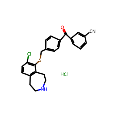 Cl.N#Cc1cccc(C(=O)c2ccc(CSc3c(Cl)ccc4c3CCNCC4)cc2)c1